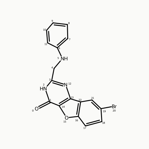 O=c1[nH]c(CNc2ccccc2)nc2c1oc1ccc(Br)cc12